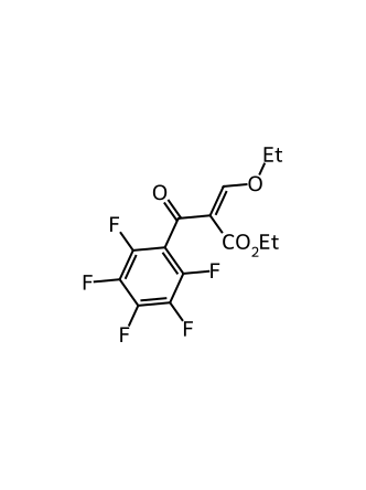 CCO/C=C(\C(=O)OCC)C(=O)c1c(F)c(F)c(F)c(F)c1F